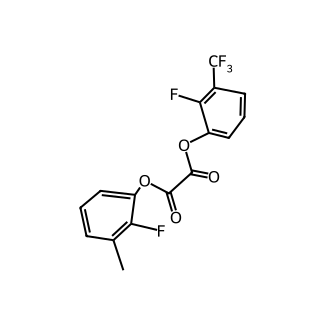 Cc1cccc(OC(=O)C(=O)Oc2cccc(C(F)(F)F)c2F)c1F